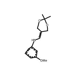 COc1cccc(NC=C2COC(C)(C)OC2)c1